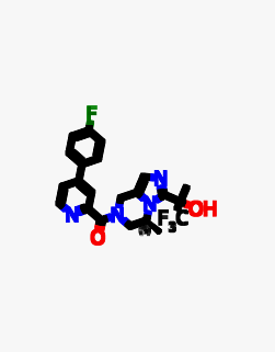 C[C@H]1CN(C(=O)c2cc(-c3ccc(F)cc3)ccn2)Cc2cnc(C(C)(O)C(F)(F)F)n21